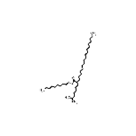 CCCCCCCCCCCCCCCCCCC(CCCCCC(C)C)C(=O)OCCCCCCCCCC